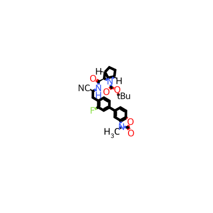 Cn1c(=O)oc2ccc(-c3ccc(C[C@@H](C#N)NC(=O)[C@H]4[C@H]5CC[C@H](C5)N4C(=O)OC(C)(C)C)c(F)c3)cc21